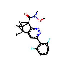 CON(C)C(=O)[C@@]12CC[C@@H](c3cc(-c4c(F)cccc4F)nnc31)C2(C)C